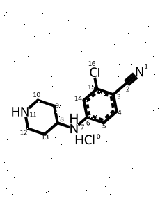 Cl.N#Cc1ccc(NC2CCNCC2)cc1Cl